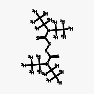 [2H]C([2H])([2H])C([2H])([2H])N(C(=S)SSC(=S)N(C([2H])([2H])C([2H])([2H])[2H])C([2H])([2H])C([2H])([2H])[2H])C([2H])([2H])C([2H])([2H])[2H]